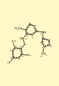 Cc1cnc(Nc2cnn(C)c2)nc1NCc1c(F)cc(F)cc1F